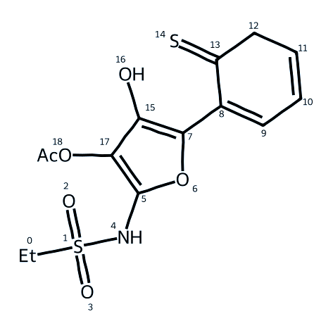 CCS(=O)(=O)Nc1oc(C2=CC=CCC2=S)c(O)c1OC(C)=O